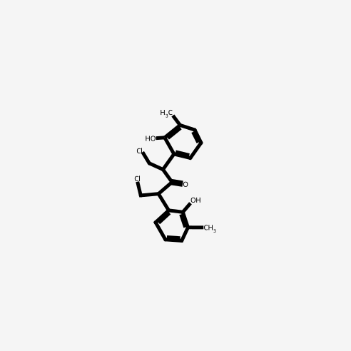 Cc1cccc(C(CCl)C(=O)C(CCl)c2cccc(C)c2O)c1O